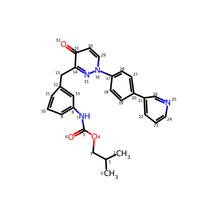 CC(C)COC(=O)Nc1cccc(Cc2nn(-c3ccc(-c4cccnc4)cc3)ccc2=O)c1